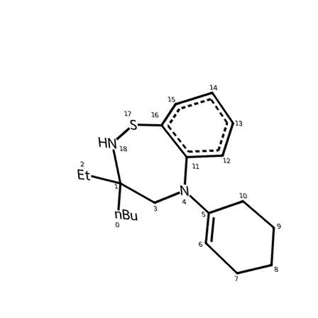 CCCCC1(CC)CN(C2=CCCCC2)c2ccccc2SN1